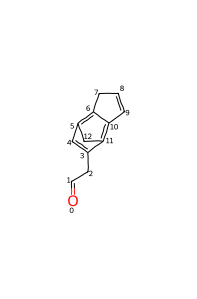 O=CCC1=CC2=C3CC=CC3=C1C2